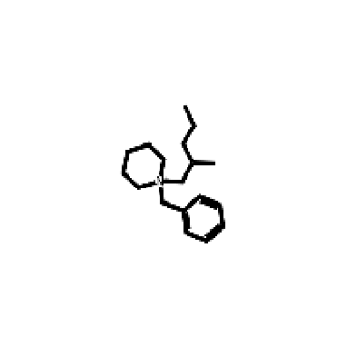 CCCC(C)C[N+]1(Cc2ccccc2)CCCCC1